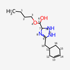 CCCCOC(O)C1N=C(CC2CC=CCC2)NN1